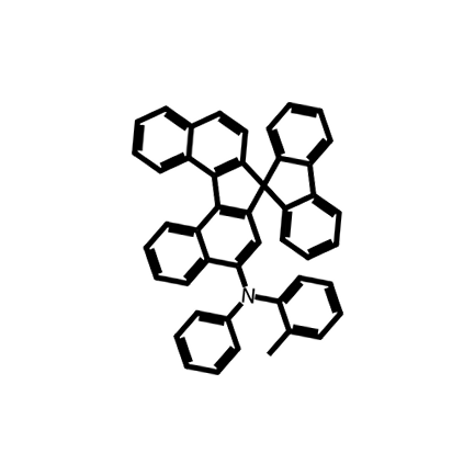 Cc1ccccc1N(c1ccccc1)c1cc2c(c3ccccc13)-c1c(ccc3ccccc13)C21c2ccccc2-c2ccccc21